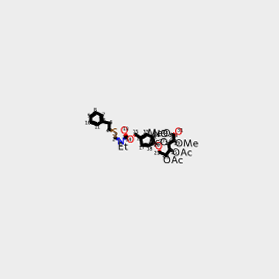 CCN(CSCCc1ccccc1)C(=O)OCc1ccc(OC[C@@H](OC(C)=O)C(OC(C)=O)C(OC(C)=O)C(OC)C(=O)OC)c([N+](=O)[O-])c1